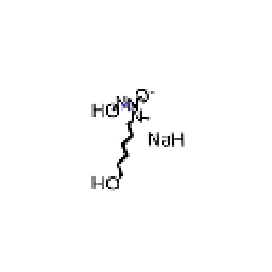 CN(CCCCCCO)/[N+]([O-])=N\O.[NaH]